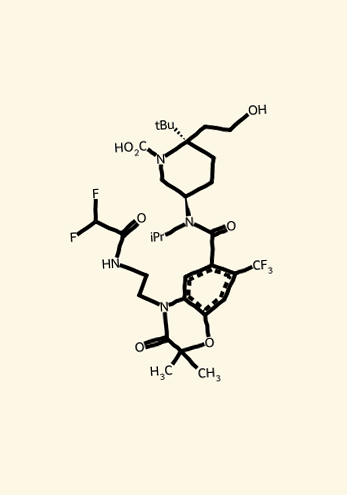 CC(C)N(C(=O)c1cc2c(cc1C(F)(F)F)OC(C)(C)C(=O)N2CCNC(=O)C(F)F)[C@@H]1CC[C@@](CCO)(C(C)(C)C)N(C(=O)O)C1